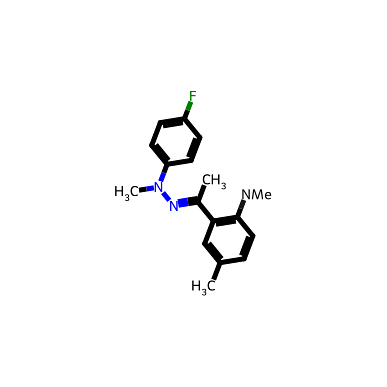 CNc1ccc(C)cc1/C(C)=N/N(C)c1ccc(F)cc1